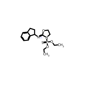 CCOP(=S)(OCC)N1CCO/C1=N\C1CCc2ccccc21